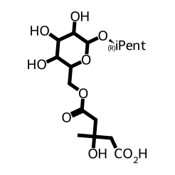 CCC[C@@H](C)OC1OC(COC(=O)CC(C)(O)CC(=O)O)C(O)C(O)C1O